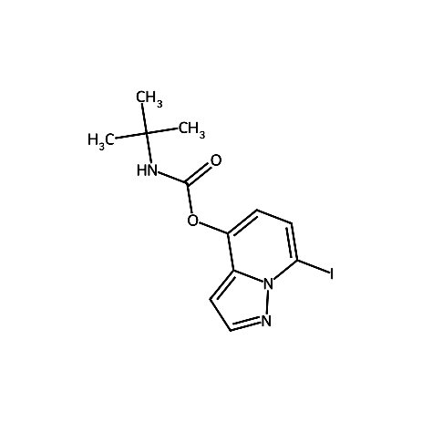 CC(C)(C)NC(=O)Oc1ccc(I)n2nccc12